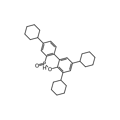 O=[PH]1Oc2c(cc(C3CCCCC3)cc2C2CCCCC2)-c2ccc(C3CCCCC3)cc21